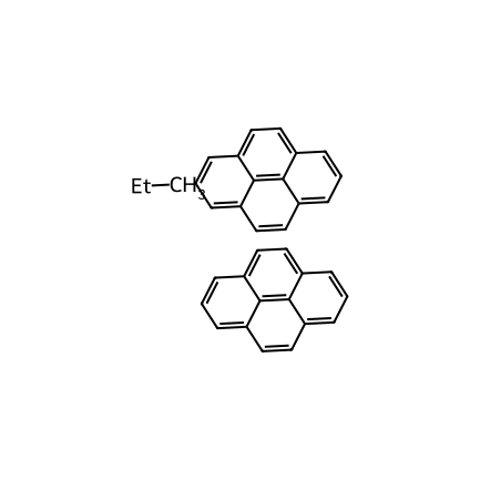 CCC.c1cc2ccc3cccc4ccc(c1)c2c34.c1cc2ccc3cccc4ccc(c1)c2c34